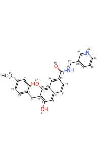 O=C(O)c1ccc(Cc2c(O)cc3ccc(C(=O)NCc4cccnc4)cc3c2O)cc1